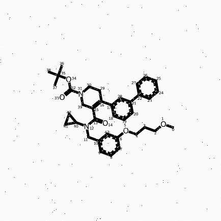 COCCCOc1cccc(CN(C(=O)C2=C(c3cccc(-c4ccccc4)c3)CCN(C(=O)OC(C)(C)C)C2)C2CC2)c1